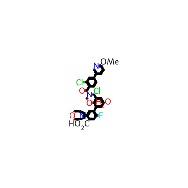 COc1ccc(-c2cc(Cl)c(C(=O)N3COc4c(cccc4-c4cc(N5C6CCC5COC6)c(C(=O)O)cc4F)C3)c(Cl)c2)cn1.O